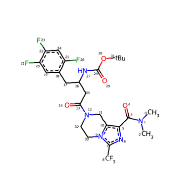 CN(C)C(=O)c1nc(C(F)(F)F)n2c1CN(C(=O)CC(Cc1cc(F)c(F)cc1F)NC(=O)OC(C)(C)C)CC2